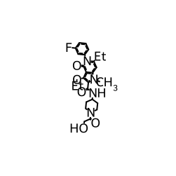 CCOc1c(C(=O)NC2CCN(C(=O)CO)CC2)n(C)c2cc(CC)n(-c3cccc(F)c3)c(=O)c12